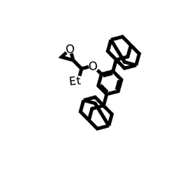 CCC(Oc1cc(C23CC4CC(CC(C4)C2)C3)ccc1C12CC3CC(CC(C3)C1)C2)C1CO1